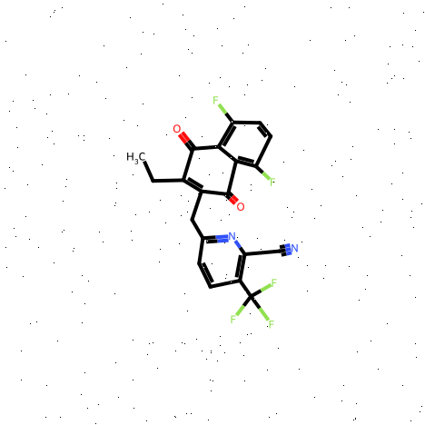 CCC1=C(Cc2ccc(C(F)(F)F)c(C#N)n2)C(=O)c2c(F)ccc(F)c2C1=O